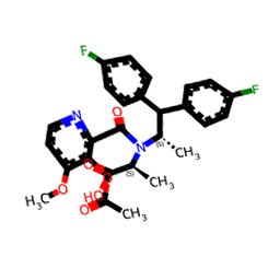 COc1ccnc(C(=O)N([C@@H](C)C(=O)O)[C@@H](C)C(c2ccc(F)cc2)c2ccc(F)cc2)c1OC(C)=O